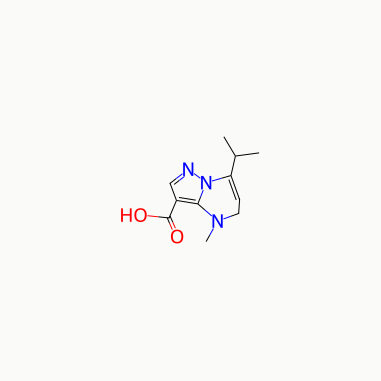 CC(C)C1=CCN(C)c2c(C(=O)O)cnn21